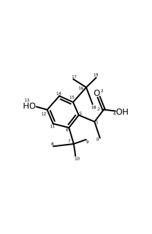 CC(C(=O)O)c1c(C(C)(C)C)cc(O)cc1C(C)(C)C